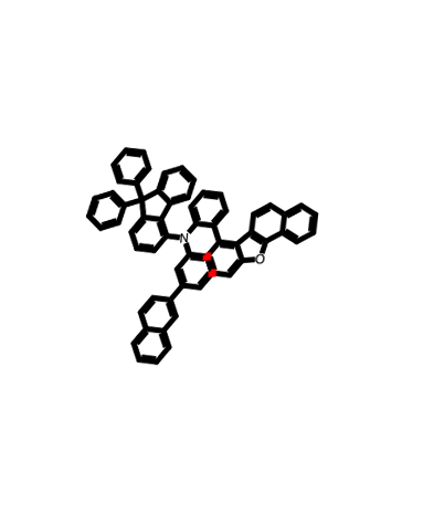 c1ccc(C2(c3ccccc3)c3ccccc3-c3c(N(c4cccc(-c5ccc6ccccc6c5)c4)c4ccccc4-c4cccc5oc6c7ccccc7ccc6c45)cccc32)cc1